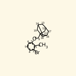 Cc1c(Br)cccc1OCC12CC3CC(CC(C3)C1)C2